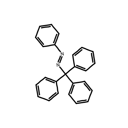 c1ccc(/N=N/C(c2ccccc2)(c2ccccc2)c2ccccc2)cc1